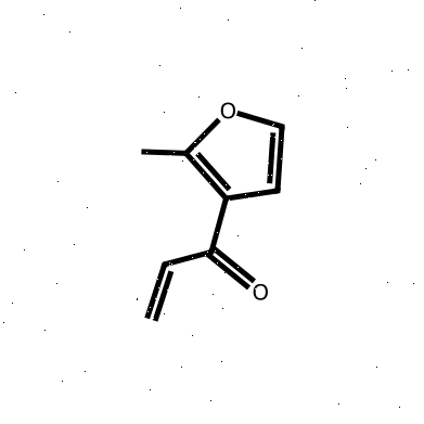 C=CC(=O)c1ccoc1C